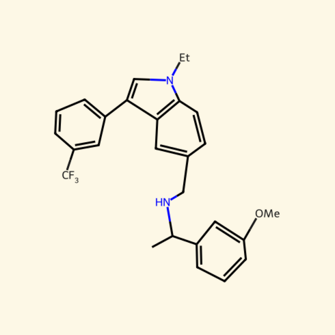 CCn1cc(-c2cccc(C(F)(F)F)c2)c2cc(CNC(C)c3cccc(OC)c3)ccc21